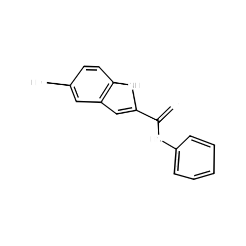 Cc1ccc2[nH]c(C(=O)Nc3ccccc3)cc2c1